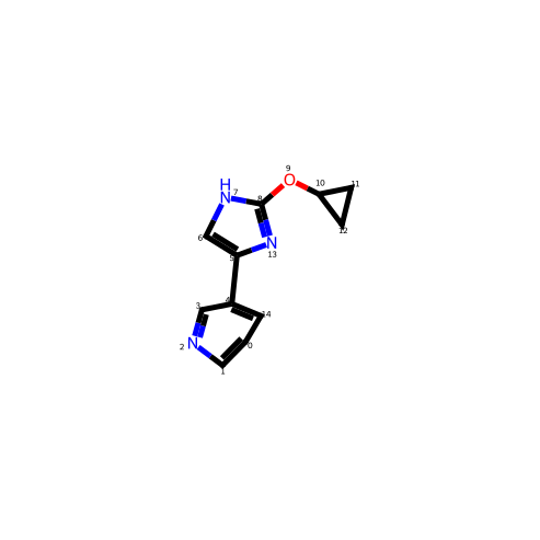 c1cncc(-c2c[nH]c(OC3CC3)n2)c1